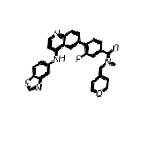 CN(CC1CCOCC1)C(=O)c1ccc(-c2ccc3nccc(Nc4ccc5scnc5c4)c3c2)c(F)c1